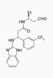 CC[C@@H](CC=O)NC(=O)CC(Nc1nc2ccccc2[nH]1)c1cccc(C(F)(F)F)c1